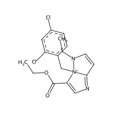 CCOC(=O)C1=CN=C2C=CN(CC)[N+]12Cc1ccc(Cl)cc1Cl